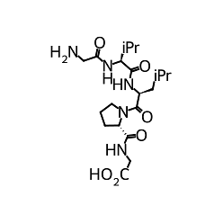 CC(C)C[C@H](NC(=O)[C@@H](NC(=O)CN)C(C)C)C(=O)N1CCC[C@H]1C(=O)NCC(=O)O